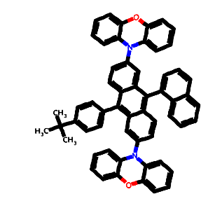 CC(C)(C)c1ccc(-c2c3cc(N4c5ccccc5Oc5ccccc54)ccc3c(-c3cccc4ccccc34)c3cc(N4c5ccccc5Oc5ccccc54)ccc23)cc1